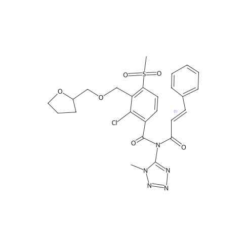 Cn1nnnc1N(C(=O)/C=C/c1ccccc1)C(=O)c1ccc(S(C)(=O)=O)c(COCC2CCCO2)c1Cl